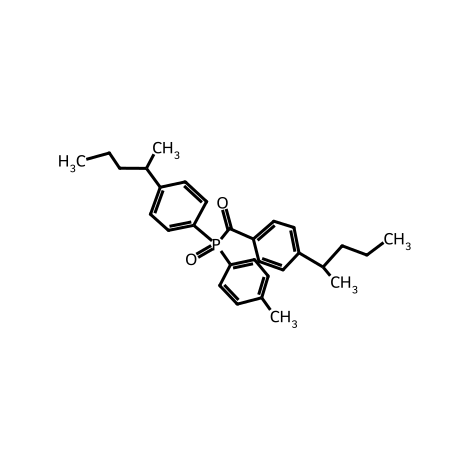 CCCC(C)c1ccc(C(=O)P(=O)(c2ccc(C)cc2)c2ccc(C(C)CCC)cc2)cc1